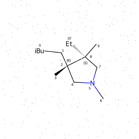 CCC(C)C[C@@]1(C)CN(C)C[C@@]1(C)CC